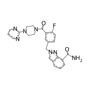 NC(=O)c1cccc2cn(Cc3ccc(F)c(C(=O)N4CCN(c5ncccn5)CC4)c3)nc12